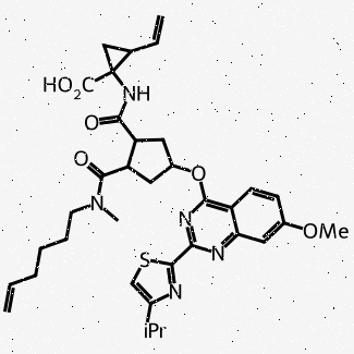 C=CCCCCN(C)C(=O)C1CC(Oc2nc(-c3nc(C(C)C)cs3)nc3cc(OC)ccc23)CC1C(=O)NC1(C(=O)O)CC1C=C